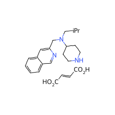 CC(C)CN(Cc1cc2ccccc2cn1)C1CCNCC1.O=C(O)C=CC(=O)O